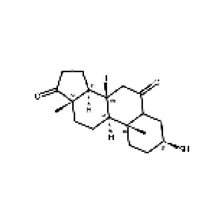 C[C@]12CC[C@H](S)CC1C(=O)C[C@@H]1[C@@H]2CC[C@]2(C)C(=O)CC[C@@H]12